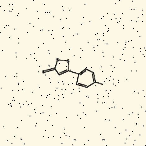 Cc1ccc(-c2cc(=S)ss2)cc1